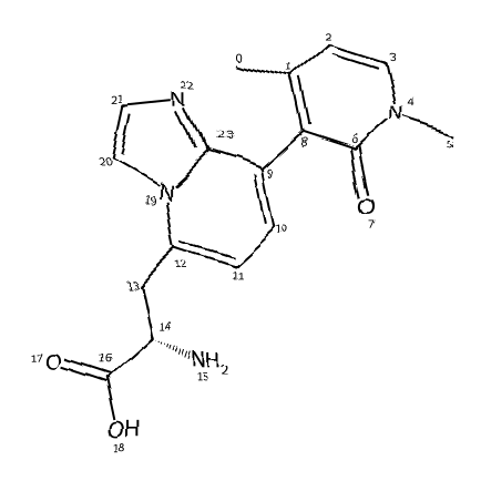 Cc1ccn(C)c(=O)c1-c1ccc(C[C@H](N)C(=O)O)n2ccnc12